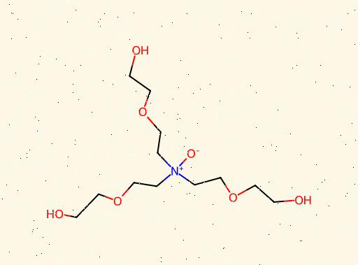 [O-][N+](CCOCCO)(CCOCCO)CCOCCO